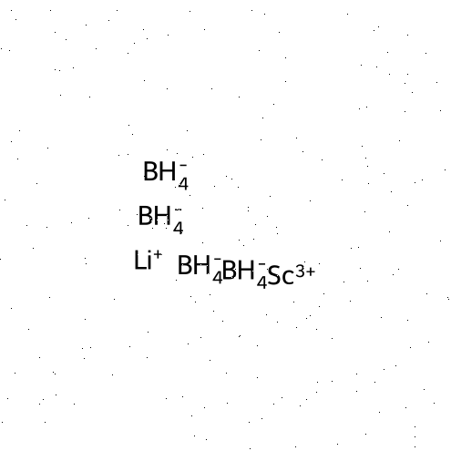 [BH4-].[BH4-].[BH4-].[BH4-].[Li+].[Sc+3]